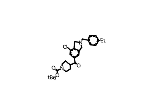 CCc1ccc(CN2Cc3cc(C(=O)C4CCN(C(=O)OC(C)(C)C)CC4)cc(Cl)c3C2)cc1